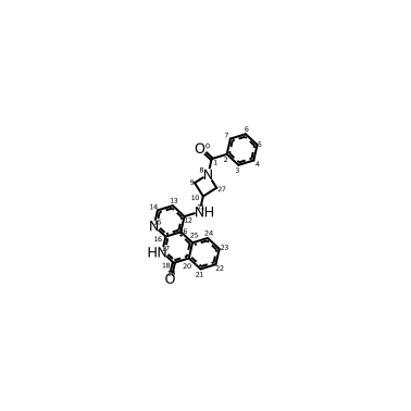 O=C(c1ccccc1)N1CC(Nc2ccnc3[nH]c(=O)c4ccccc4c23)C1